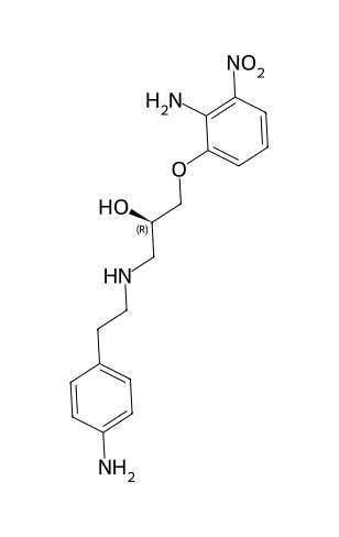 Nc1ccc(CCNC[C@@H](O)COc2cccc([N+](=O)[O-])c2N)cc1